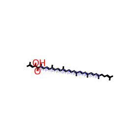 CC(C)=CCC/C(C)=C/C=C/C(C)=C/C=C/C(C)=C/C=C/C=C(C)/C=C/C=C(C)/C=C/C=C(\C)C(=O)C(O)C=C(C)C